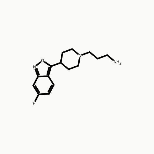 NCCCN1CCC(c2onc3cc(F)ccc23)CC1